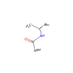 CCC(C)C(C)NC(=O)NC